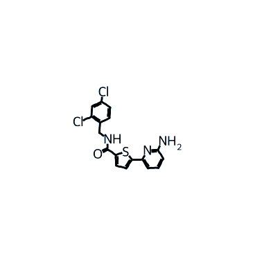 Nc1cccc(-c2ccc(C(=O)NCc3ccc(Cl)cc3Cl)s2)n1